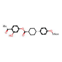 CCCCCCCCCOc1ccc([C@H]2CC[C@H](C(=O)Oc3ccc(C(=O)[C@@H](C)CC)c(O)c3)CC2)cc1